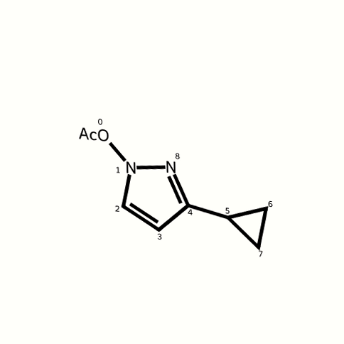 CC(=O)On1ccc(C2CC2)n1